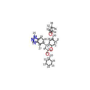 Cc1ccc([C@@H](CC(=O)OCc2ccccc2)c2ccc3c(nnn3C)c2C)cc1CO[Si](C)(C)C(C)(C)C